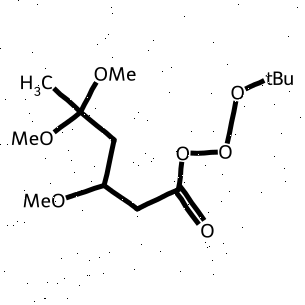 COC(CC(=O)OOOC(C)(C)C)CC(C)(OC)OC